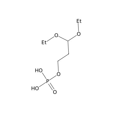 CCOC(CCOP(=O)(O)O)OCC